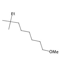 CCC(C)(C)CCCCCCOC